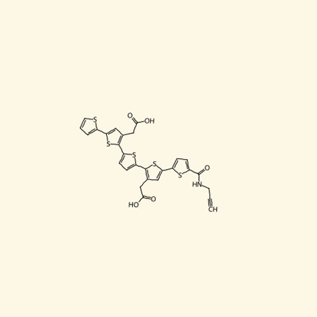 C#CCNC(=O)c1ccc(-c2cc(CC(=O)O)c(-c3ccc(-c4sc(-c5cccs5)cc4CC(=O)O)s3)s2)s1